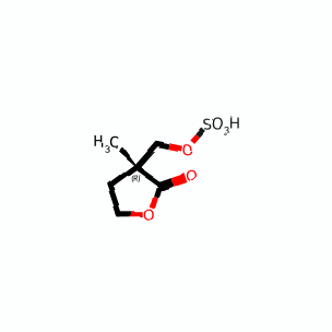 C[C@]1(COS(=O)(=O)O)CCOC1=O